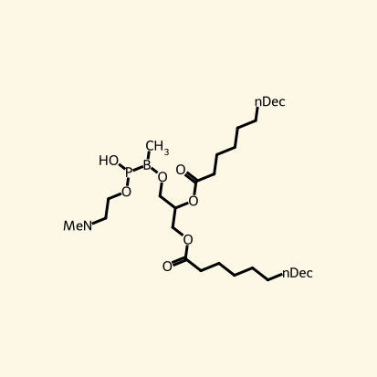 CCCCCCCCCCCCCCCC(=O)OCC(COB(C)P(O)OCCNC)OC(=O)CCCCCCCCCCCCCCC